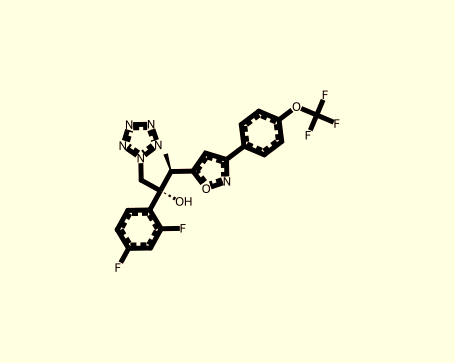 C[C@@H](c1cc(-c2ccc(OC(F)(F)F)cc2)no1)[C@](O)(Cn1nnnn1)c1ccc(F)cc1F